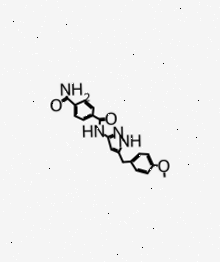 COc1ccc(Cc2cc(NC(=O)c3ccc(C(N)=O)cc3)n[nH]2)cc1